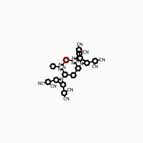 N#Cc1ccc(-c2ccc3c(c2)c2cc(-c4ccc(C#N)cc4C#N)ccc2n3-c2cc(-c3cccc(-c4ccc(-n5c6ccc(-c7ccc(C#N)cc7C#N)cc6c6cc(-c7ccc(C#N)cc7C#N)ccc65)c(-c5nc(-c6ccccc6)nc(-c6ccccc6)n5)c4)c3)cc(-c3nc(-c4ccccc4)nc(-c4ccccc4)n3)c2)c(C#N)c1